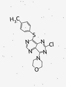 Cc1ccc(Sc2ncnc3c(N4CCOCC4)nc(Cl)nc23)cc1